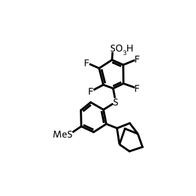 CSc1ccc(Sc2c(F)c(F)c(S(=O)(=O)O)c(F)c2F)c(C2CC3CCC2C3)c1